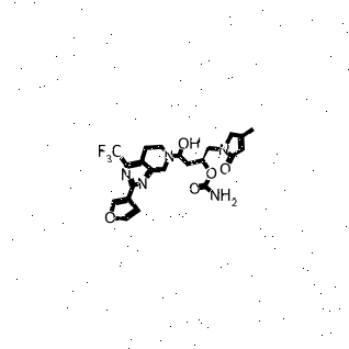 CC1=CC(=O)N(C[C@H](CC(O)N2CCc3c(nc(-c4ccoc4)nc3C(F)(F)F)C2)OC(N)=O)C1